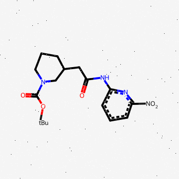 CC(C)(C)OC(=O)N1CCCC(CC(=O)Nc2cccc([N+](=O)[O-])n2)C1